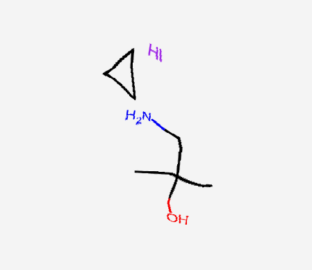 C1CC1.CC(C)(O)CN.I